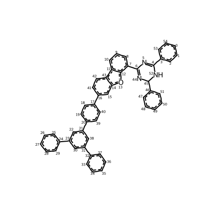 c1ccc(C2=NC(c3cccc4c3oc3cc(-c5ccc(-c6cc(-c7ccccc7)cc(-c7ccccc7)c6)cc5)ccc34)=NC(c3ccccc3)N2)cc1